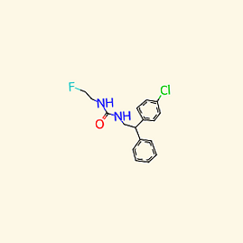 O=C(NCCF)NCC(c1ccccc1)c1ccc(Cl)cc1